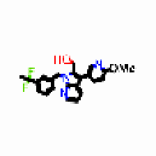 COc1ccc(-c2c(CO)n(Cc3cccc(C(C)(F)F)c3)c3ncccc23)cn1